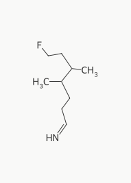 CC(CCF)C(C)CCC=N